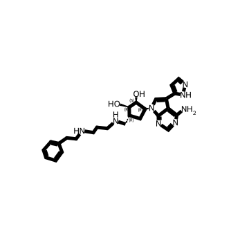 Nc1ncnc2c1c(-c1ccn[nH]1)cn2[C@@H]1C[C@H](CNCCCNCCc2ccccc2)[C@@H](O)[C@H]1O